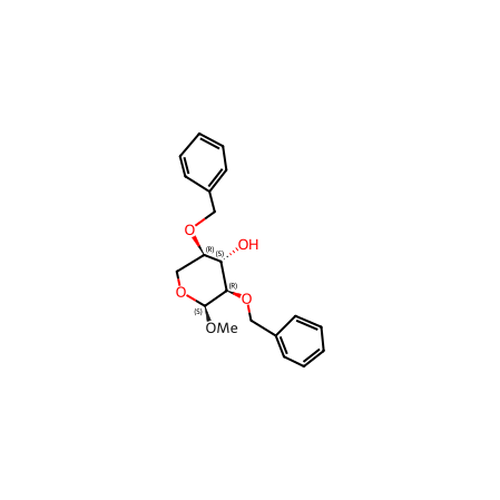 CO[C@H]1OC[C@@H](OCc2ccccc2)[C@H](O)[C@H]1OCc1ccccc1